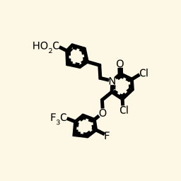 O=C(O)c1ccc(CCn2c(COc3cc(C(F)(F)F)ccc3F)c(Cl)cc(Cl)c2=O)cc1